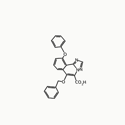 O=C(O)c1c(OCc2ccccc2)c2cccc(Oc3ccccc3)c2c2ncnn12